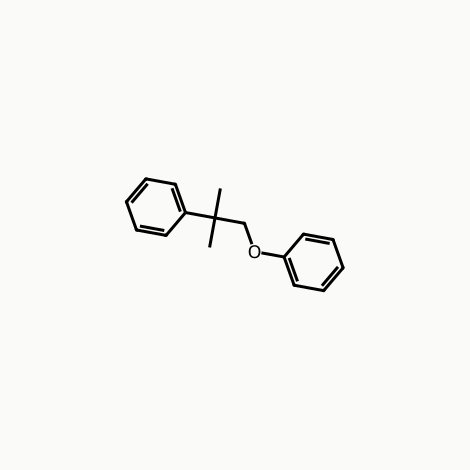 CC(C)(COc1ccccc1)c1ccccc1